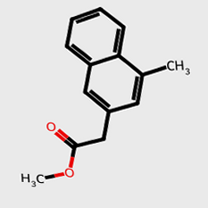 COC(=O)Cc1cc(C)c2ccccc2c1